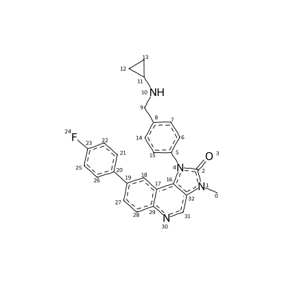 Cn1c(=O)n(-c2ccc(CNC3CC3)cc2)c2c3cc(-c4ccc(F)cc4)ccc3ncc21